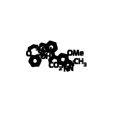 COc1cc(C(CC(=O)O)c2cccc(CN3CCOc4ccccc4S3(O)O)c2)cc2nnn(C)c12